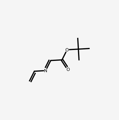 C=CN=CC(=O)OC(C)(C)C